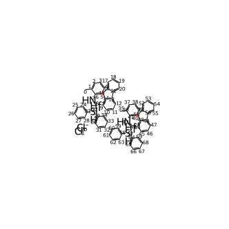 Cc1ccccc1[NH][Hf+]([c]1cccc2c1Cc1ccccc1-2)[SiH](c1ccccc1)c1ccccc1.Cc1ccccc1[NH][Hf+]([c]1cccc2c1Cc1ccccc1-2)[SiH](c1ccccc1)c1ccccc1.[Cl-].[Cl-]